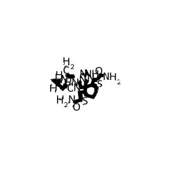 C=C(CNCCC1(c2nn[nH]n2)c2cc(C(N)=O)sc2CCc2sc(C(N)=O)cc21)N1C(C#N)C[C@@H]2C[C@@H]21